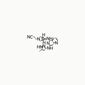 Cc1cc(Nc2cc3ncccc3c(N[C@@H]3[C@@H]4CN(CCC#N)C[C@@H]43)n2)n[nH]1